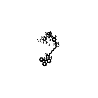 N#Cc1ncc(N2C(=O)C3(CCC3)N(Cc3ccc(-c4noc(CCCCCCCC(=O)NOC(c5ccccc5)(c5ccccc5)c5ccccc5)n4)cc3F)C2=S)cc1C(F)(F)F